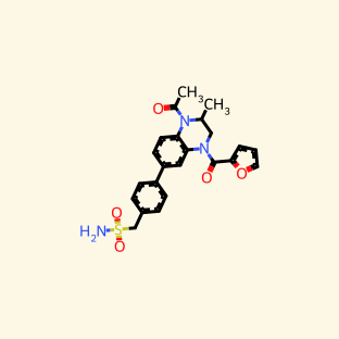 CC(=O)N1c2ccc(-c3ccc(CS(N)(=O)=O)cc3)cc2N(C(=O)c2ccco2)CC1C